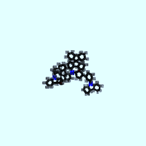 C1=CC2c3ccccc3N(c3cccc(-c4ccc(N(c5cccc6c5-c5ccccc5C65c6ccccc6-c6ccccc65)c5cccc6c5-c5ccccc5C65c6ccccc6-n6c7ccccc7c7cccc5c76)cc4)c3)C2C=C1